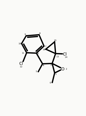 CC1OC1(C(C)c1ccccc1Cl)C1(Cl)CC1